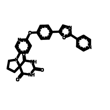 O=C1NC(=O)C2(CCCN2c2ccc(Oc3ccc(-c4cnc(-c5ccncc5)o4)cc3)nc2)C(=O)N1